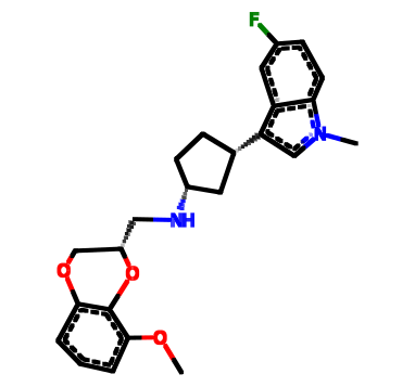 COc1cccc2c1O[C@@H](CN[C@@H]1CC[C@H](c3cn(C)c4ccc(F)cc34)C1)CO2